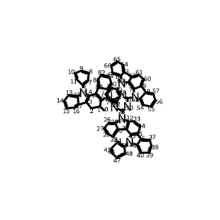 CC1Cc2c(n(-c3ccccc3)c3ccccc23)-c2c1n(-c1nc(-n3c4ccccc4c4c3ccc3c5ccccc5n(-c5ccccc5)c34)nc(-n3c4ccccc4c4ccc5c6ccccc6n(-c6ccccc6)c5c43)n1)c1ccccc21